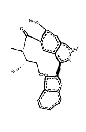 COc1cc2[nH]nc(-c3cc4ccccc4s3)c2cc1C(=O)N(C)[C@H](CO)C(C)C